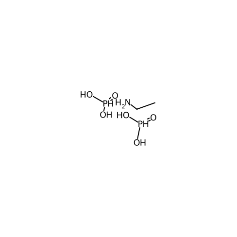 CCN.O=[PH](O)O.O=[PH](O)O